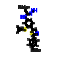 CN/C=C(\N=N)Nc1ccc(-c2cnc(C34CCC(NC)(CC3)CC4)s2)c(SC2CC2)c1